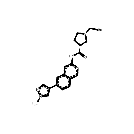 Cn1cc(-c2ccc3cnc(NC(=O)[C@H]4CCN(CC(C)(C)C)C4)cc3c2)cn1